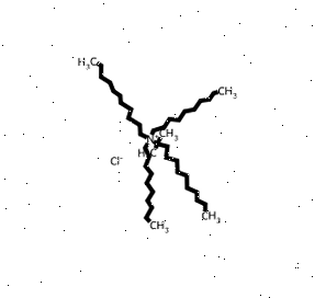 CCCCCCCCCCC[N+](CCCCCCCCCC)(CCCCCCCCCC)C(C)(C)CCCCCCCCCC.[Cl-]